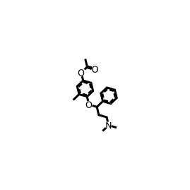 CC(=O)Oc1ccc(OC(CCN(C)C)c2ccccc2)c(C)c1